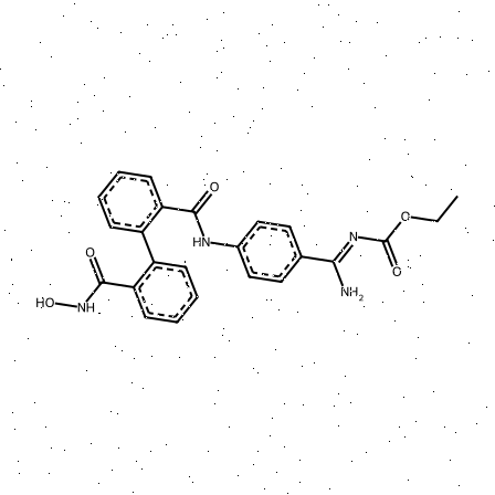 CCOC(=O)N=C(N)c1ccc(NC(=O)c2ccccc2-c2ccccc2C(=O)NO)cc1